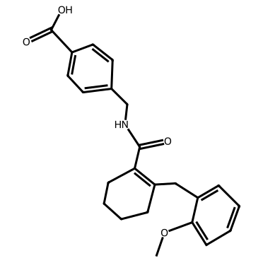 COc1ccccc1CC1=C(C(=O)NCc2ccc(C(=O)O)cc2)CCCC1